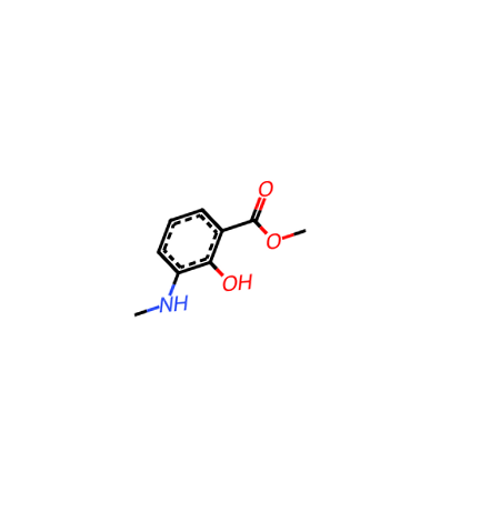 CNc1cccc(C(=O)OC)c1O